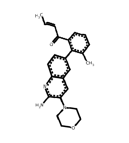 C/C=C/C(=O)c1cccc(C)c1-c1ccc2nc(N)c(N3CCOCC3)cc2c1